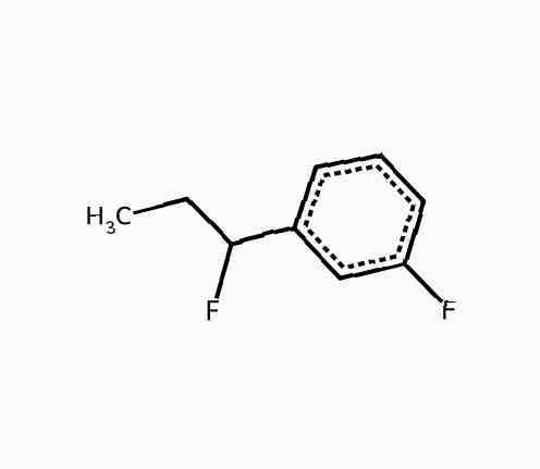 CCC(F)c1cccc(F)c1